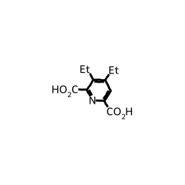 CCc1cc(C(=O)O)nc(C(=O)O)c1CC